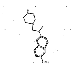 COc1ccc2cc(C(C)CN3CCNCC3)ccc2c1